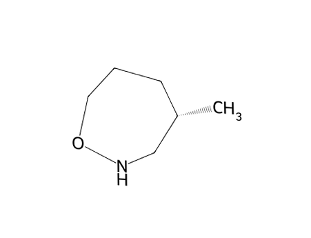 C[C@H]1CCCONC1